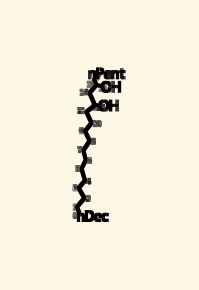 CCCCCCCCCCCCCCCCCCCCCC(O)CC(O)CCCCC